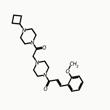 COc1ccccc1C=CC(=O)N1CCN(CC(=O)N2CCN(C3CCC3)CC2)CC1